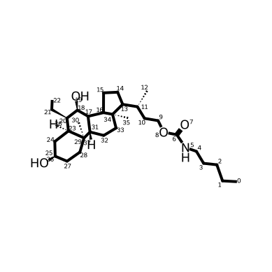 CCCCCNC(=O)OCC[C@@H](C)C1CCC2C3[C@H](O)[C@H](CC)[C@@H]4C[C@H](O)CC[C@]4(C)[C@H]3CC[C@@]21C